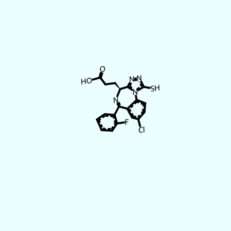 O=C(O)CC[C@@H]1N=C(c2ccccc2F)c2cc(Cl)ccc2-n2c(S)nnc21